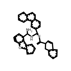 C=C(/N=C(\NC(N)c1cc#cc2oc3ccccc3c12)c1ccc2ccc3ccccc3c2c1)C1C=Cc2ccccc2C1